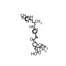 CSc1cnc(NCC(C)CNc2ccc(C3CC3C(=O)N3CCC4(CC3)CN(C(=O)O)C4C(C)(C)C)cn2)nc1